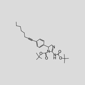 CCCCCCC#Cc1ccc(C2CN=C(NC(=O)OC(C)(C)C)N2C(=O)OC(C)(C)C)cc1